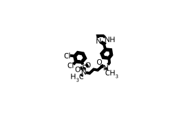 CN(Cc1ccc(C2=NCCN2)cc1)C(=O)CCCN(C)S(=O)(=O)c1cccc(Cl)c1Cl